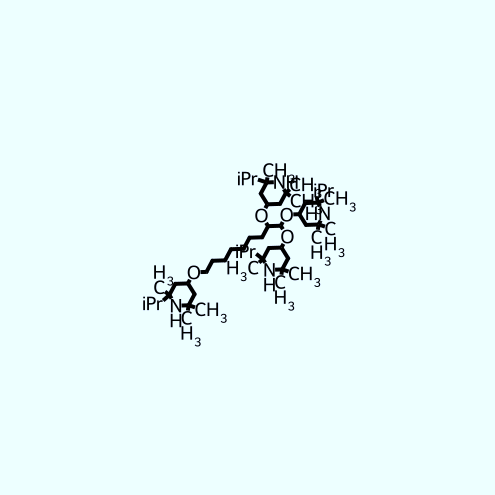 CC(C)C1(C)CC(OCCCCCCCC(OC2CC(C)(C)NC(C)(C(C)C)C2)C(OC2CC(C)(C)NC(C)(C(C)C)C2)OC2CC(C)(C)NC(C)(C(C)C)C2)CC(C)(C)N1